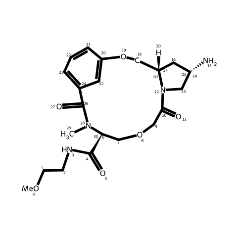 COCCNC(=O)[C@@H]1COCC(=O)N2C[C@@H](N)C[C@H]2COc2cccc(c2)C(=O)N1C